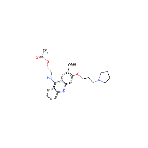 COc1cc2c(NCCOC(=O)C(F)(F)F)c3ccccc3nc2cc1OCCCN1CCCC1